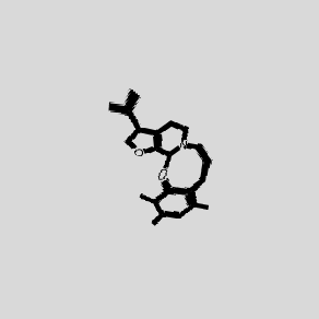 CC1=CC(C)=C2CCCN3CCC4=C(OCC4C(C)C)C3OC2C1C